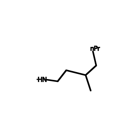 CCCCC(C)CC[NH]